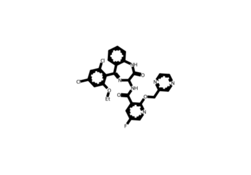 CCOc1cc(Cl)cc(Cl)c1C1=NC(NC(=O)c2cc(F)cnc2OCc2cnccn2)C(=O)Nc2ccccc21